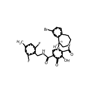 Cc1cc(F)c(CNC(=O)c2cn3c(c(O)c2=O)C(=O)N2CCc4ccc(Br)cc4[C@H]3C2)c(F)c1